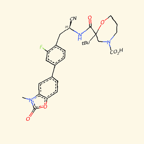 Cn1c(=O)oc2ccc(-c3ccc(C[C@@H](C#N)NC(=O)C4(C(C)(C)C)CN(C(=O)O)CCCO4)c(F)c3)cc21